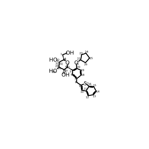 OC[C@H]1O[C@@H](c2cc(Cc3cc4ccccc4s3)ccc2OC2CCCC2)[C@H](O)[C@@H](O)[C@@H]1O